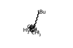 C[SiH](C)OC(CCCCCCCCCC(C)(C)C)OS(C)(=O)=O